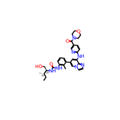 CC[C@H](C)[C@@H](CO)NC(=O)Nc1cccc(-c2cc(Nc3ccc(C(=O)N4CCOCC4)cn3)c3nccn3c2)c1C